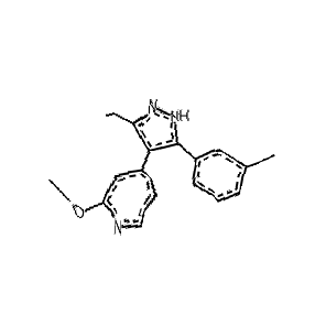 COc1cc(-c2c(C)n[nH]c2-c2cccc(C)c2)ccn1